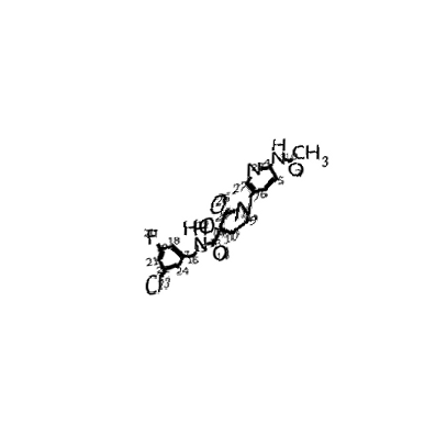 CC(=O)Nc1ccc(N2CC[C@@](O)(C(=O)NCc3cc(F)cc(Cl)c3)C2=O)cn1